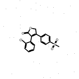 CS(=O)(=O)c1ccc(C2=C(c3ccccc3Cl)C(=O)OC2)cc1